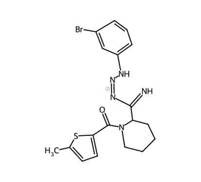 Cc1ccc(C(=O)N2CCCCC2C(=N)/N=N\Nc2cccc(Br)c2)s1